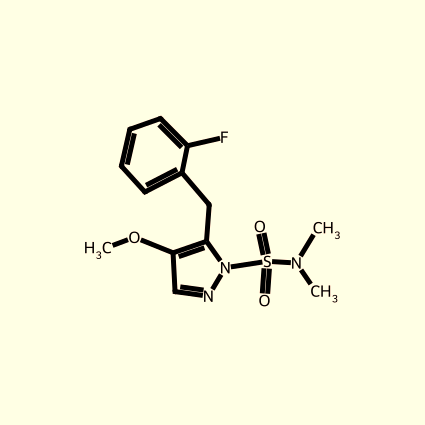 COc1cnn(S(=O)(=O)N(C)C)c1Cc1ccccc1F